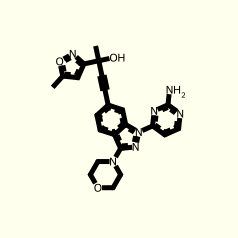 Cc1cc(C(C)(O)C#Cc2ccc3c(N4CCOCC4)nn(-c4ccnc(N)n4)c3c2)no1